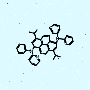 CC(C)C1=CC(N(c2ccccc2)c2ccccn2)C2=CCc3c(C(C)C)cc(N(c4ccccc4)c4ccccc4)c4ccc1c2c34